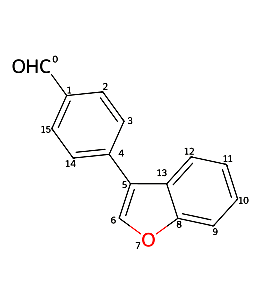 O=Cc1ccc(-c2coc3ccccc23)cc1